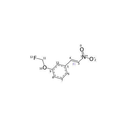 O=[N+]([O-])/C=C/c1cccc(OCF)c1